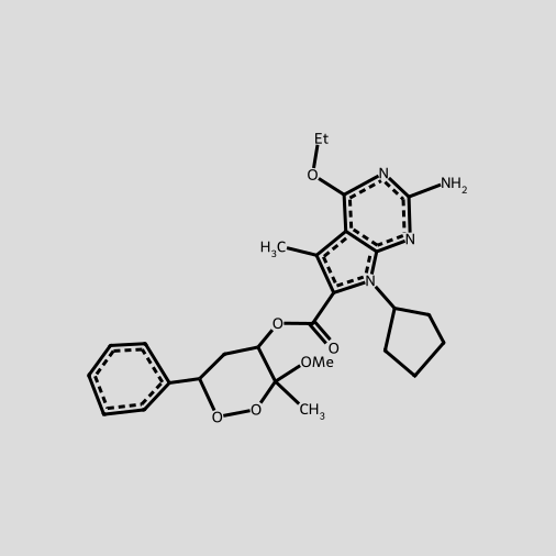 CCOc1nc(N)nc2c1c(C)c(C(=O)OC1CC(c3ccccc3)OOC1(C)OC)n2C1CCCC1